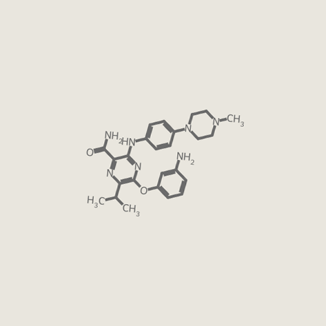 CC(C)c1nc(C(N)=O)c(Nc2ccc(N3CCN(C)CC3)cc2)nc1Oc1cccc(N)c1